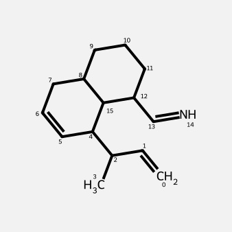 C=CC(C)C1C=CCC2CCCC(C=N)C21